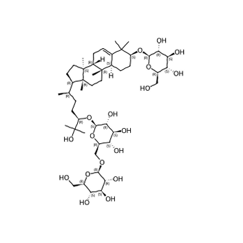 C[C@H](CC[C@@H](O[C@@H]1O[C@H](CO[C@@H]2O[C@H](CO)[C@@H](O)[C@H](O)[C@H]2O)[C@@H](O)[C@H](O)[C@H]1O)C(C)(C)O)[C@H]1CC[C@@]2(C)[C@@H]3CC=C4[C@@H](CC[C@H](O[C@@H]5O[C@H](CO)[C@@H](O)[C@H](O)[C@H]5O)C4(C)C)[C@]3(C)CC[C@]12C